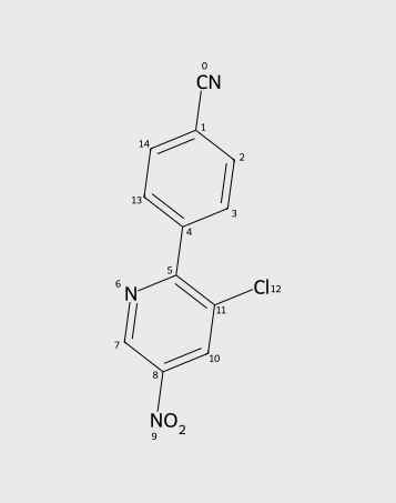 N#Cc1ccc(-c2ncc([N+](=O)[O-])cc2Cl)cc1